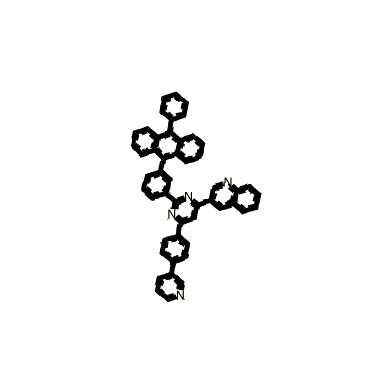 c1ccc(-c2c3ccccc3c(-c3cccc(-c4nc(-c5ccc(-c6cccnc6)cc5)cc(-c5cnc6ccccc6c5)n4)c3)c3ccccc23)cc1